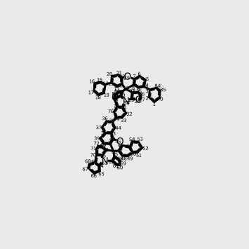 c1ccc(-c2ccc3c(c2)C2(c4cc(-c5ccccc5)ccc4O3)c3ccccc3-n3c4ccc(-c5ccc6ccc7c(c6c5)Oc5c(ccc6ccccc56)C75c6ccccc6-n6c7ccccc7c7cccc5c76)cc4c4cccc2c43)cc1